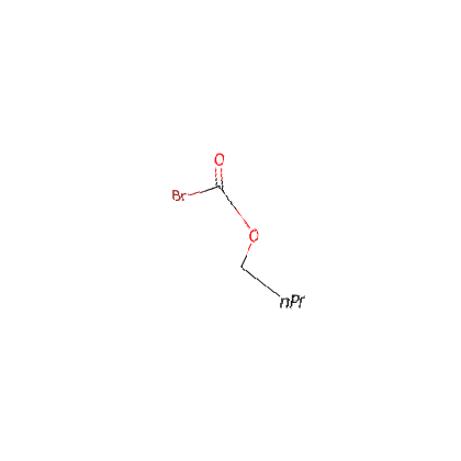 CCCCOC(=O)Br